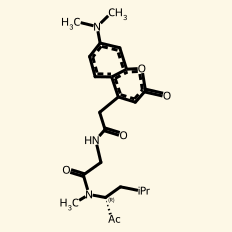 CC(=O)[C@@H](CC(C)C)N(C)C(=O)CNC(=O)Cc1cc(=O)oc2cc(N(C)C)ccc12